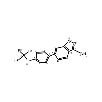 Nc1n[nH]c2cc(-c3ccc(OC(F)(F)F)cc3)ccc12